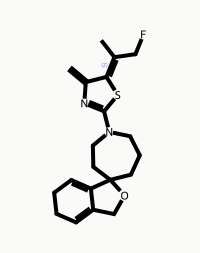 C=c1nc(N2CCCC3(CC2)OCC2=CCCC=C23)s/c1=C(/C)CF